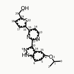 CC(C)Oc1ccc2[nH]nc(-c3nccc(-c4ccc(CO)s4)n3)c2c1